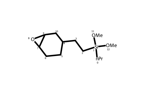 CCC[Si](CCC1CCC2OC2C1)(OC)OC